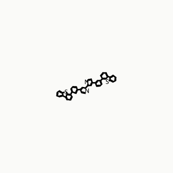 c1cc(-c2ccnc(-c3cc(-c4cccc(-c5cccc6c5sc5ccccc56)c4)ccn3)c2)cc(-c2cccc3c2sc2ccccc23)c1